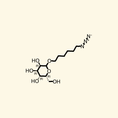 [N-]=[N+]=NCCCCCCOC1O[C@H](CO)[C@H](O)[C@@H](O)[C@H]1O